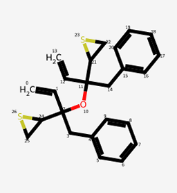 C=CC(Cc1ccccc1)(OC(C=C)(Cc1ccccc1)C1CS1)C1CS1